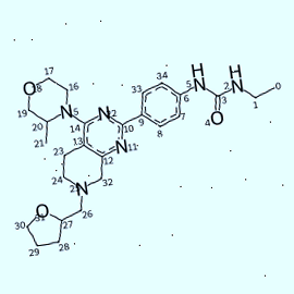 CCNC(=O)Nc1ccc(-c2nc3c(c(N4CCOCC4C)n2)CCN(CC2CCCO2)C3)cc1